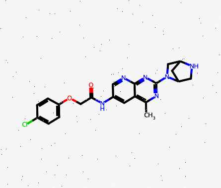 Cc1nc(N2CC3CC2CN3)nc2ncc(NC(=O)COc3ccc(Cl)cc3)cc12